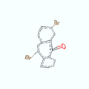 O=c1c2cc(Br)ccc2cc(Br)c2ccccc12